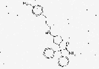 Cc1ccc(CCCNC2CCC(C(C(N)=O)(c3ccccc3)c3ccccc3)C2)cc1